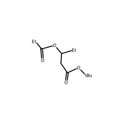 CCC(=O)OC(CC)CC(=O)OC(C)(C)C